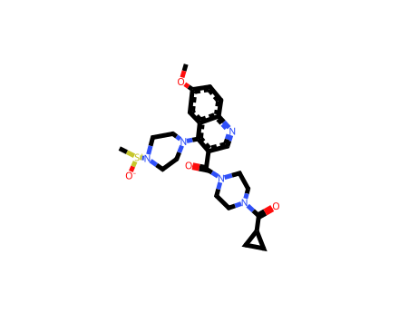 COc1ccc2ncc(C(=O)N3CCN(C(=O)C4CC4)CC3)c(N3CCN([S+](C)[O-])CC3)c2c1